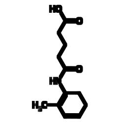 CC1=C(NC(=O)CCCC(=O)O)CCC=C1